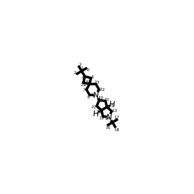 CC(C)(C)C1CC2(CCN(C3C[C@@H]4CN(C(C)(C)C)C[C@@H]4C3)CC2)C1